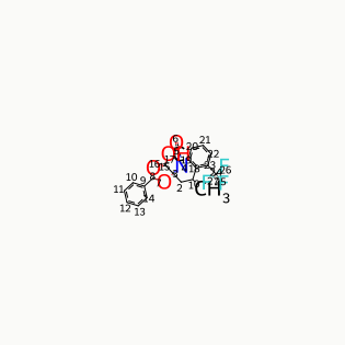 CC(CC(N=C=O)(OCc1ccccc1)C(=O)O)c1ccccc1C(F)(F)F